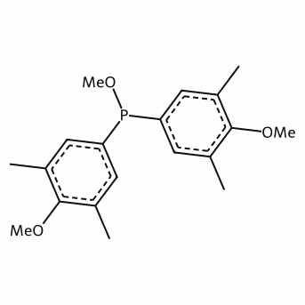 COc1c(C)cc(P(OC)c2cc(C)c(OC)c(C)c2)cc1C